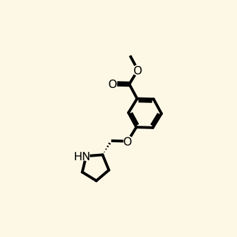 COC(=O)c1cccc(OC[C@@H]2CCCN2)c1